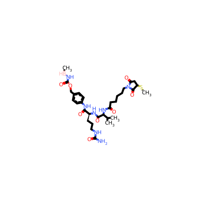 CBNC(=O)OCc1ccc(NC(=O)[C@H](CCCNC(N)=O)NC(=O)C(NC(=O)CCCCCN2C(=O)CC(SC)C2=O)C(C)C)cc1